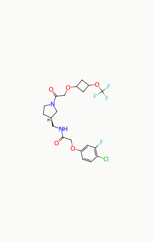 O=C(COc1ccc(Cl)c(F)c1)NC[C@H]1CCN(C(=O)COC2CC(OC(F)(F)F)C2)C1